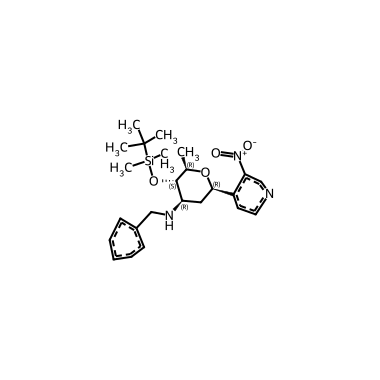 C[C@H]1O[C@@H](c2ccncc2[N+](=O)[O-])C[C@@H](NCc2ccccc2)[C@@H]1O[Si](C)(C)C(C)(C)C